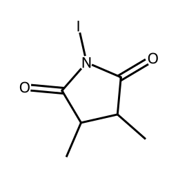 CC1C(=O)N(I)C(=O)C1C